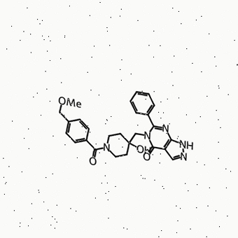 COCc1ccc(C(=O)N2CCC(O)(Cn3c(-c4ccccc4)nc4[nH]ncc4c3=O)CC2)cc1